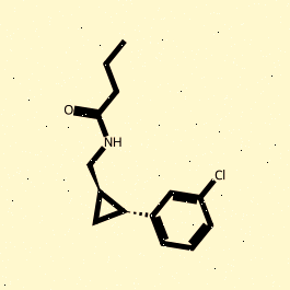 CCCC(=O)NC[C@@H]1C[C@H]1c1cccc(Cl)c1